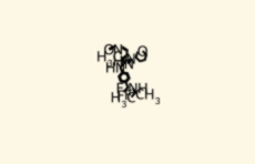 Cc1c(Nc2ccc(C(NC(C)C)C(F)(F)F)cc2)nn(C2CCCOC2)c1/C=C\NC=O